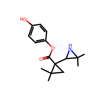 CC1(C)NC1C1(C(=O)Oc2ccc(O)cc2)CC1(C)C